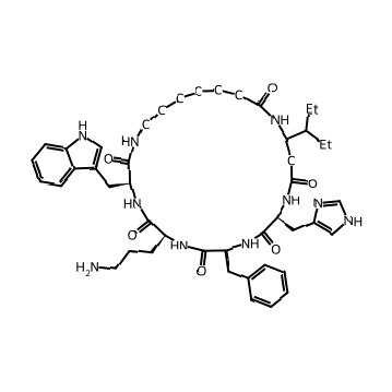 CCC(CC)C1CC(=O)N[C@@H](Cc2c[nH]cn2)C(=O)NC(Cc2ccccc2)C(=O)N[C@@H](CCCN)C(=O)N[C@@H](Cc2c[nH]c3ccccc23)C(=O)NCCCCCCC(=O)N1